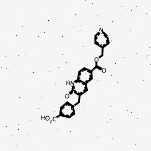 O=C(O)c1ccc(Cc2cc3cc(C(=O)OCc4ccncc4)ccc3[nH]c2=O)cc1